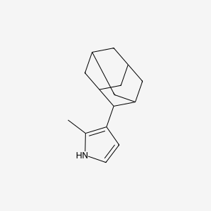 Cc1[nH]ccc1C1C2CC3CC(C2)CC1C3